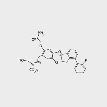 NC(=O)COc1cc(O[C@H]2CCc3c(-c4ccccc4F)cccc32)c(Cl)cc1CN[C@@H](CO)C(=O)O